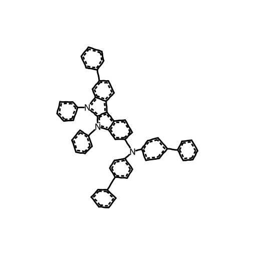 c1ccc(-c2ccc(N(c3ccc(-c4ccccc4)cc3)c3ccc4c5c6ccc(-c7ccccc7)cc6n(-c6ccccc6)c5n(-c5ccccc5)c4c3)cc2)cc1